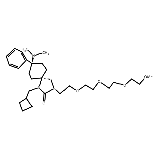 COCCOCCOCCOCCN1C[C@]2(CC[C@](c3ccccc3)(N(C)C)CC2)N(CC2CCC2)C1=O